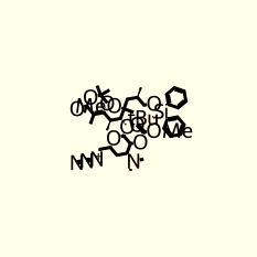 COC(=O)OC1C(O[C@H]([C@@H](C)C2=C(C)C(=O)OC(C)(C)O2)[C@@](C)(C[C@@H](C)CO[Si](c2ccccc2)(c2ccccc2)C(C)(C)C)OC)OC(CN=[N+]=[N-])CC1N(C)C